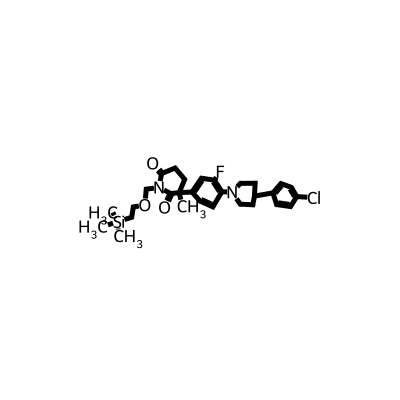 CC1(c2ccc(N3CCC(c4ccc(Cl)cc4)CC3)c(F)c2)CCC(=O)N(COCC[Si](C)(C)C)C1=O